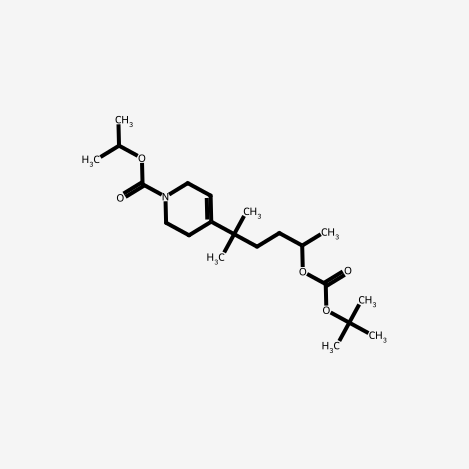 CC(C)OC(=O)N1CC=C(C(C)(C)CCC(C)OC(=O)OC(C)(C)C)CC1